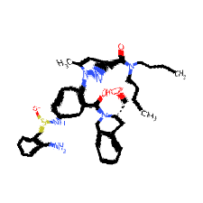 CCCCN(CCCC)C(=O)c1cc(C)n(-c2ccc(N[S+]([O-])c3ccccc3N)cc2C(=O)N2Cc3ccccc3C[C@H]2CO)n1